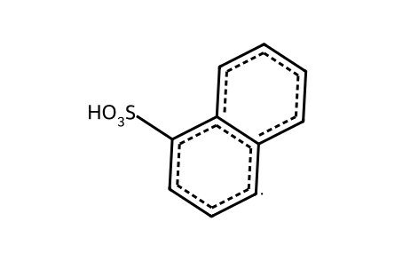 O=S(=O)(O)c1cc[c]c2ccccc12